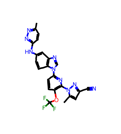 Cc1ccc(Nc2ccc3c(c2)ncn3-c2ccc(OC(F)(F)F)c(-n3nc(C#N)cc3C)n2)nn1